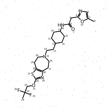 Cc1cnc(CC(=O)NC2CCC(CCN3CCc4nc(OCC(C)(F)F)sc4CC3)CC2)o1